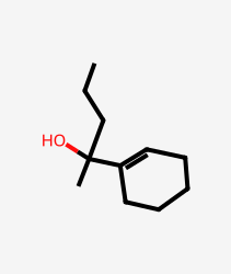 CCCC(C)(O)C1=CCCCC1